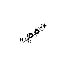 CC(C)(C)OC(=O)Nc1ccc(Oc2ccnc(C(N)=O)c2)cc1